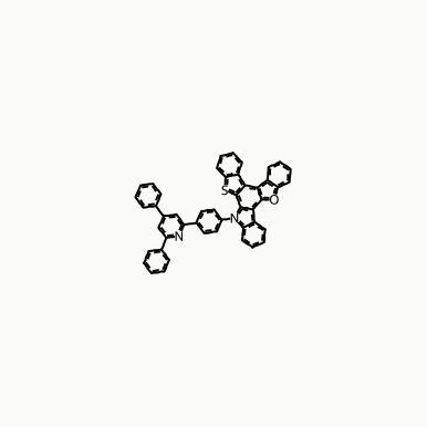 c1ccc(-c2cc(-c3ccccc3)nc(-c3ccc(-n4c5ccccc5c5c6oc7ccccc7c6c6c7ccccc7sc6c54)cc3)c2)cc1